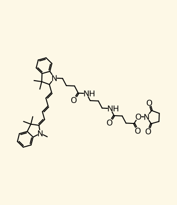 CN1/C(=C/C=C/C=C/C2N(CCCC(=O)NCCCNC(=O)CCC(=O)ON3C(=O)CCC3=O)c3ccccc3C2(C)C)C(C)(C)c2ccccc21